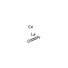 [Ce].[La].[O]=[Pr]